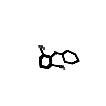 Cc1cccc(C)c1OC1CCCCC1